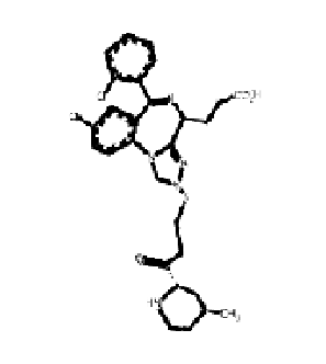 C[C@H]1CCN[C@H](C(=O)CCSN2CN3C(=N2)[C@H](CCC(=O)O)N=C(c2ccccc2Cl)c2cc(Cl)ccc23)C1